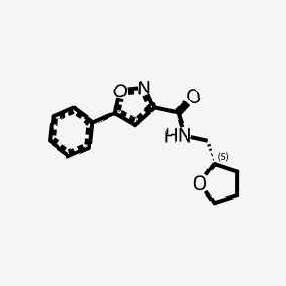 O=C(NC[C@@H]1CCCO1)c1cc(-c2ccccc2)on1